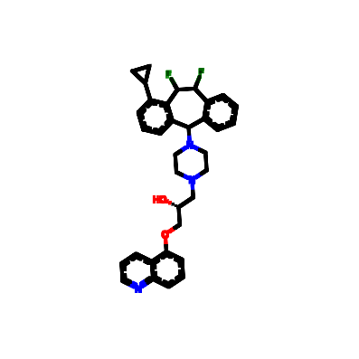 O[C@@H](COc1cccc2ncccc12)CN1CCN(C2c3ccccc3C(F)C(F)c3c(C4CC4)cccc32)CC1